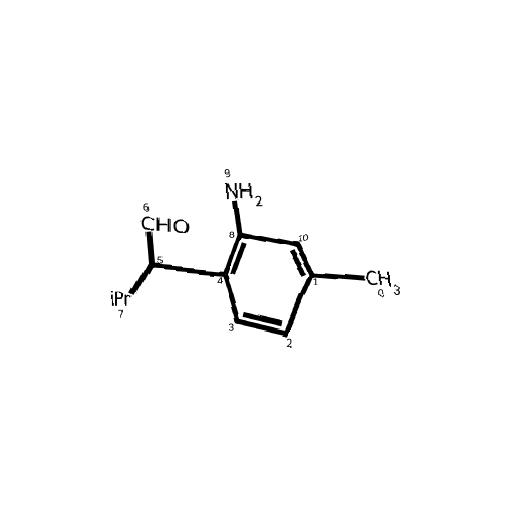 Cc1ccc(C(C=O)C(C)C)c(N)c1